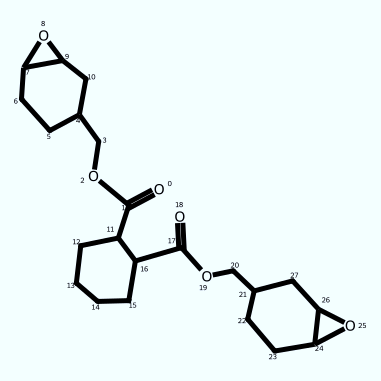 O=C(OCC1CCC2OC2C1)C1CCCCC1C(=O)OCC1CCC2OC2C1